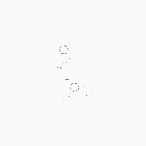 CC(=O)N1CC(Nc2cc(C(=O)NC[C@@H](O)[C@@H]3Cc4ccc(O)cc4CN3C(=O)OC(C)(C)C)cc(N3CCCCC3)n2)C1